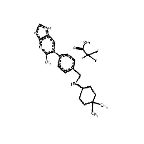 Cc1nc2nc[nH]c2cc1-c1ccc(CNC2CCC(C)(C)CC2)cc1.O=C(O)C(F)(F)F